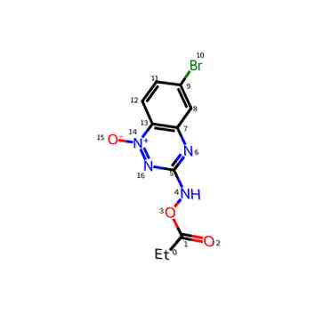 CCC(=O)ONc1nc2cc(Br)ccc2[n+]([O-])n1